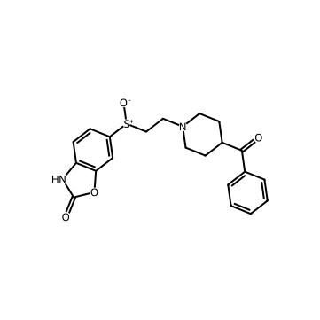 O=C(c1ccccc1)C1CCN(CC[S+]([O-])c2ccc3[nH]c(=O)oc3c2)CC1